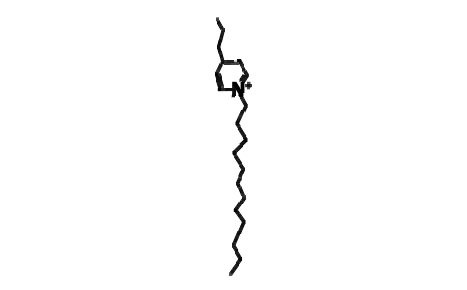 CCCCCCCCCCCC[n+]1ccc(CCC)cc1